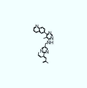 C=C(C)/C=C(\C=C/C)c1ncc(CNc2ncnc(-c3ccc4ncccc4c3)c2C)cn1